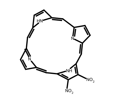 O=[N+]([O-])c1c([N+](=O)[O-])c2cc3nc(cc4ccc(cc5nc(cc1[nH]2)C=C5)[nH]4)C=C3